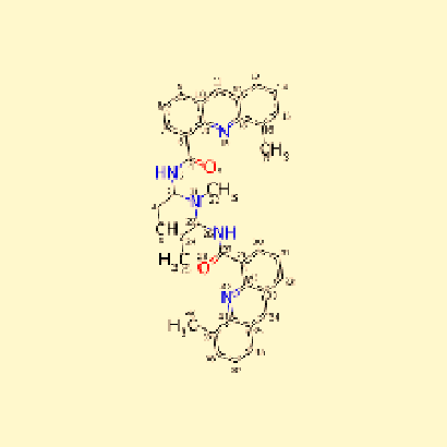 CCC(NC(=O)c1cccc2cc3cccc(C)c3nc12)N(C)C(CC)NC(=O)c1cccc2cc3cccc(C)c3nc12